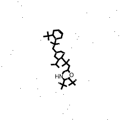 CC(C)C1CC(CC(C)(C)C2CC=CCC2C(C)(C)C)CCC1C(C)(C)CC1CNC(C(C)(C)C)C(C(C)(C)C)O1